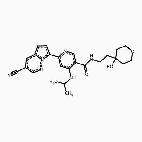 CC(C)Nc1cc(-c2ccc3cc(C#N)cnn23)ncc1C(=O)NCCC1(O)CCOCC1